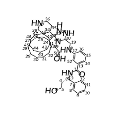 O=C(N[C@@H](CCO)c1ccccc1)c1cccc(NCC2NNC(C3CCCCCCCCC3)(C3CCNCC34CCCCCCCC4)N2CCO)c1